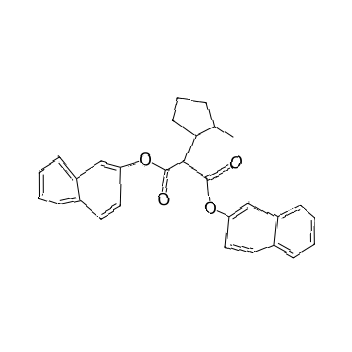 CC1CCCC1C(C(=O)Oc1ccc2ccccc2c1)C(=O)Oc1ccc2ccccc2c1